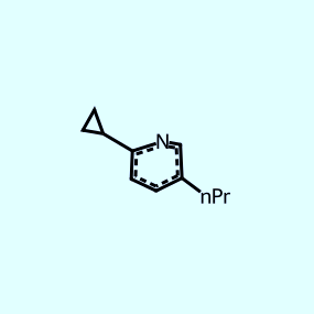 [CH2]CCc1ccc(C2CC2)nc1